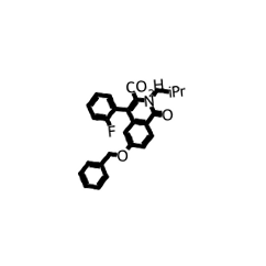 CC(C)Cn1c(C(=O)O)c(-c2ccccc2F)c2cc(OCc3ccccc3)ccc2c1=O